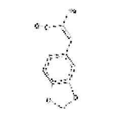 CCCC/C(C=O)=C/c1ccc2c(c1)OCO2